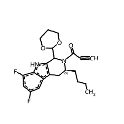 C#CC(=O)N1C(C2OCCCO2)c2[nH]c3c(F)cc(F)cc3c2C[C@@H]1CCCC